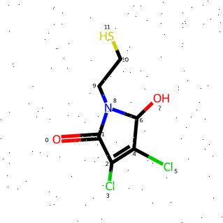 O=C1C(Cl)=C(Cl)C(O)N1CCS